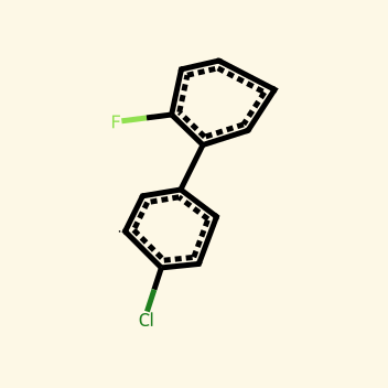 Fc1ccccc1-c1c[c]c(Cl)cc1